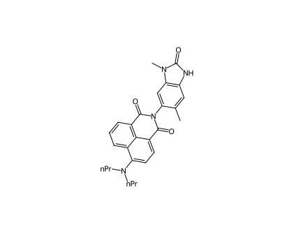 CCCN(CCC)c1ccc2c3c(cccc13)C(=O)N(c1cc3c(cc1C)[nH]c(=O)n3C)C2=O